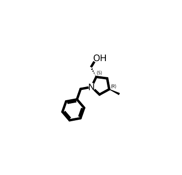 C[C@@H]1C[C@@H](CO)N(Cc2ccccc2)C1